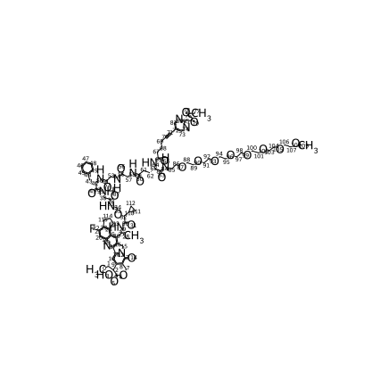 CC[C@@]1(O)C(=O)OCc2c1cc1n(c2=O)Cc2c-1nc1cc(F)c3c(c1c2[C@H](C)NC(=O)[C@H](OCNC(=O)CNC(=O)[C@H](Cc1ccccc1)NC(=O)CNC(=O)CNC(=O)CC[C@H](NC(=O)CCCC#Cc1cnc(S(C)(=O)=O)nc1)C(=O)NCCOCCOCCOCCOCCOCCOCCOCCOC)C1CC1)CCC3